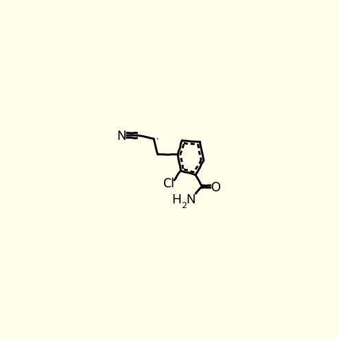 N#C[CH]Cc1cccc(C(N)=O)c1Cl